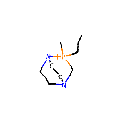 CC[PH]1(C)CN2CCN1CC2